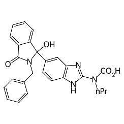 CCCN(C(=O)O)c1nc2cc(C3(O)c4ccccc4C(=O)N3Cc3ccccc3)ccc2[nH]1